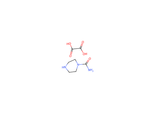 NC(=O)N1CCNCC1.O=C(O)C(=O)O